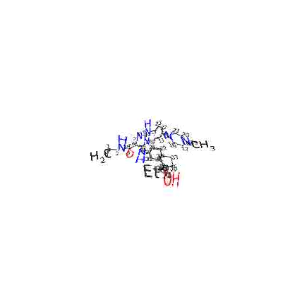 C=CCNC(=O)c1cnc(Nc2ccc(N3CCN(C)CC3)cc2)nc1Nc1ccc2c(c1)[C@](O)(CC)CC2